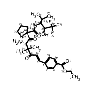 CCOC(=O)c1ccc(/C=C/C(=O)C(C)(C)[C@H](N)C(=O)[C@]2(C(=O)NC(C(C)C)C(O)C(F)(F)F)CCCN2)cc1